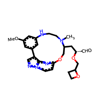 COc1cc2cc(c1)-c1cnn3ccc(nc13)OCC(C[C@H](C=O)OCC1CCO1)N(C)CCN2